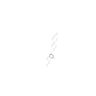 CCCC1CCC(C2CCC(COc3cc(F)c4c(c3)CCC(CCF)O4)CC2)CC1